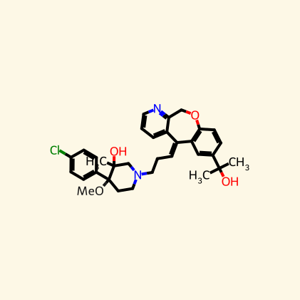 COC1(c2ccc(Cl)cc2)CCN(CCC=C2c3cc(C(C)(C)O)ccc3OCc3ncccc32)CC1(C)O